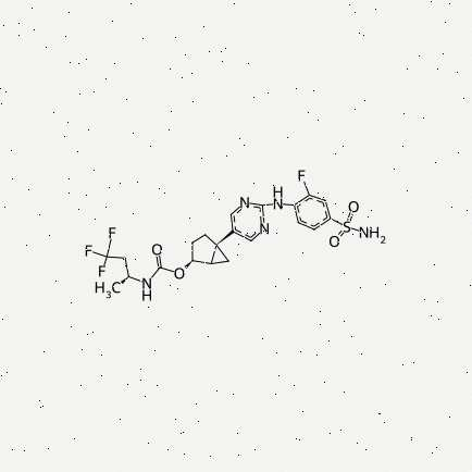 C[C@@H](CC(F)(F)F)NC(=O)O[C@H]1CC[C@]2(c3cnc(Nc4ccc(S(N)(=O)=O)cc4F)nc3)CC12